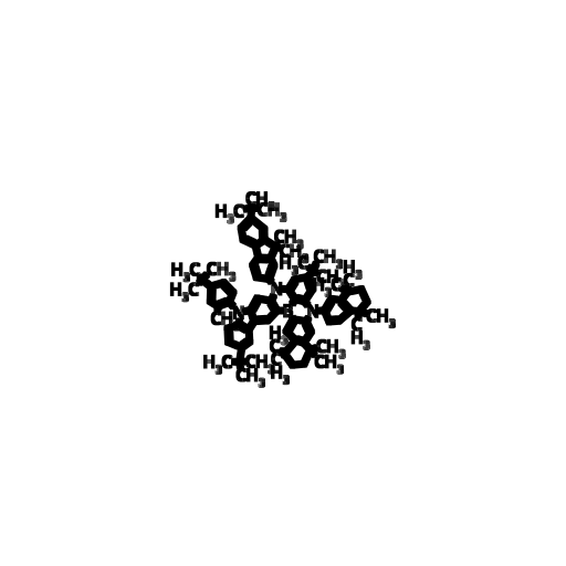 Cc1cc(C(C)(C)C)ccc1-n1c2ccc(C(C)(C)C)cc2c2cc3c(cc21)N(c1ccc2c(c1)C(C)(C)c1cc(C(C)(C)C)ccc1-2)c1cc(C(C)(C)C)cc2c1B3c1cc3c(cc1N2c1ccc2c(c1)C(C)(C)CCC2(C)C)C(C)(C)CCC3(C)C